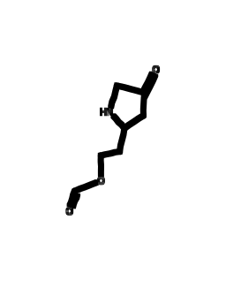 O=COCCC1CC(=O)CN1